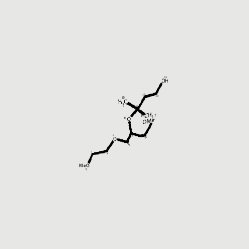 COCCOCC(COC)OC(C)(C)CCO